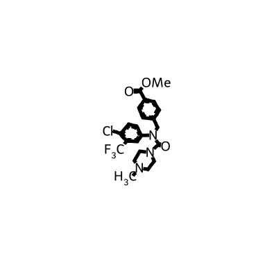 COC(=O)c1ccc(CN(C(=O)N2CCN(C)CC2)c2ccc(Cl)c(C(F)(F)F)c2)cc1